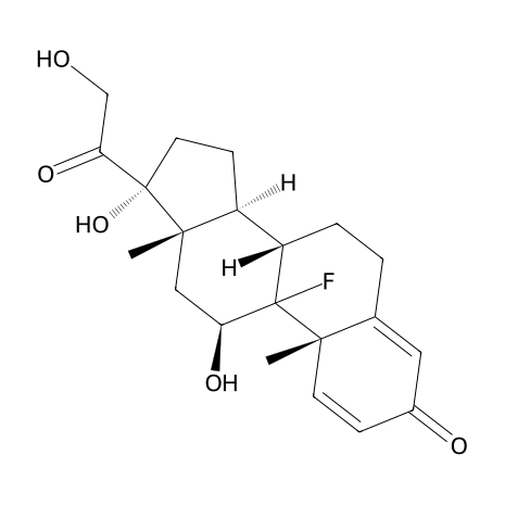 C[C@]12C=CC(=O)C=C1CC[C@H]1[C@@H]3CC[C@](O)(C(=O)CO)[C@@]3(C)C[C@H](O)C12F